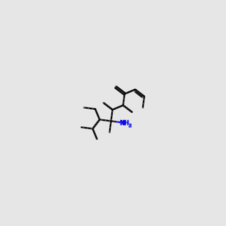 C=C(/C=C\C)C(C)C(C)C(C)(N)C(CC)C(C)C